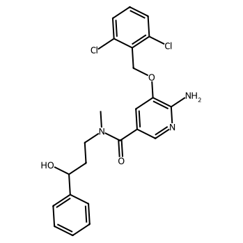 CN(CCC(O)c1ccccc1)C(=O)c1cnc(N)c(OCc2c(Cl)cccc2Cl)c1